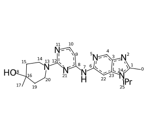 Cc1nc2cnc(Nc3ccnc(N4CCC(C)(O)CC4)n3)cc2n1C(C)C